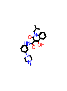 CC(C)Cn1c(=O)c(C(=O)Nc2cccc(N3CCN(C)CC3)c2)c(O)c2ccccc21